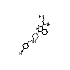 CN/C(=C\C=N)c1nnc(N2CCC(NCc3ccc(C#N)cc3)CC2)c2ccccc12